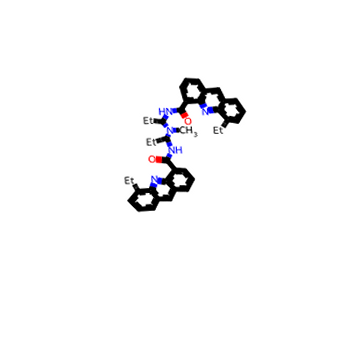 CCc1cccc2cc3cccc(C(=O)NC(CC)N(C)C(CC)NC(=O)c4cccc5cc6cccc(CC)c6nc45)c3nc12